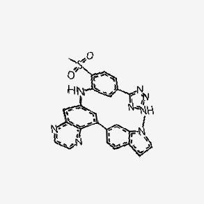 Cn1ccc2ccc(-c3cc(Nc4cc(-c5nn[nH]n5)ccc4S(C)(=O)=O)cc4nccnc34)cc21